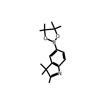 CC1=Nc2ccc(B3OC(C)(C)C(C)(C)O3)cc2C1(C)C